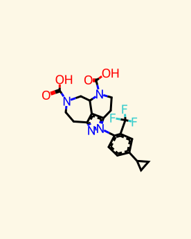 O=C(O)N1CCc2nn(-c3ccc(C4CC4)cc3C(F)(F)F)c3c2C(C1)N(C(=O)O)CC3